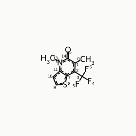 Cc1c(C(F)(F)F)c2sccc2n(C)c1=O